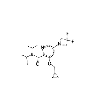 CC(C)N(C(=O)c1ncc(N2CC(F)(F)C2)cc1OCC1CC1)C(C)C